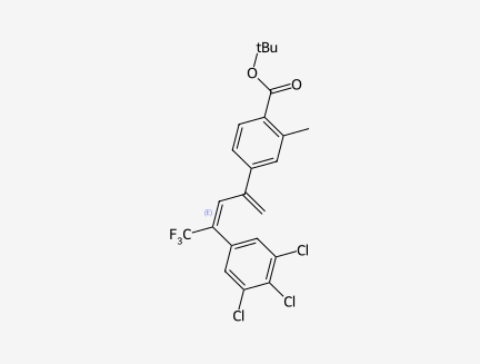 C=C(/C=C(\c1cc(Cl)c(Cl)c(Cl)c1)C(F)(F)F)c1ccc(C(=O)OC(C)(C)C)c(C)c1